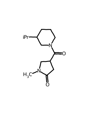 CC(C)C1CCCN(C(=O)C2CC(=O)N(C)C2)C1